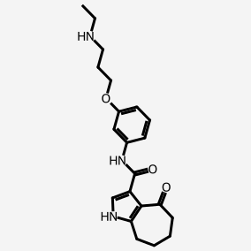 CCNCCCOc1cccc(NC(=O)c2c[nH]c3c2C(=O)CCCC3)c1